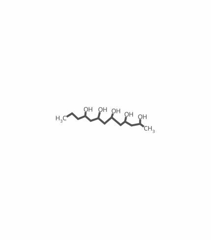 CCCC(O)CC(O)CC(O)CC(O)CC(C)O